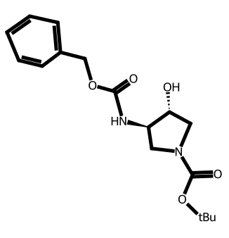 CC(C)(C)OC(=O)N1C[C@@H](O)[C@H](NC(=O)OCc2ccccc2)C1